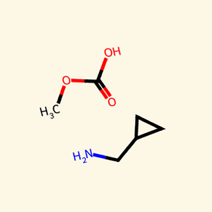 COC(=O)O.NCC1CC1